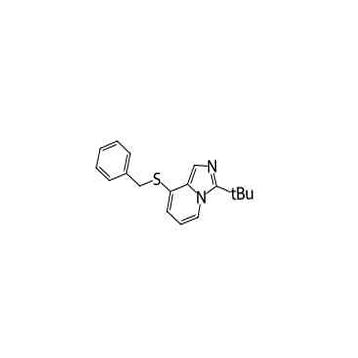 CC(C)(C)c1ncc2c(SCc3ccccc3)cccn12